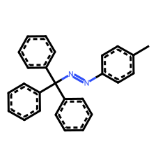 Cc1ccc(N=NC(c2ccccc2)(c2ccccc2)c2ccccc2)cc1